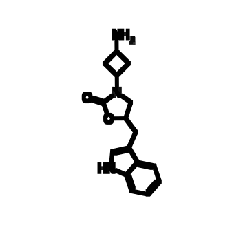 NC1CC(N2CC(Cc3c[nH]c4ccccc34)OC2=O)C1